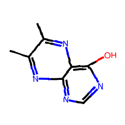 Cc1nc2ncnc(O)c2nc1C